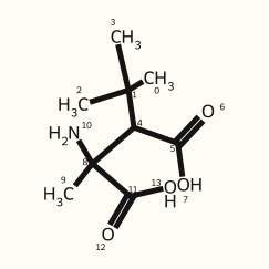 CC(C)(C)C(C(=O)O)C(C)(N)C(=O)O